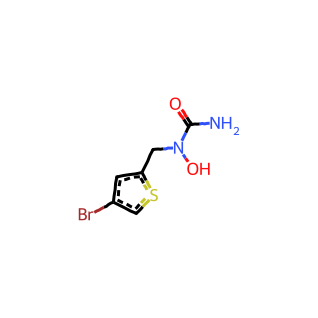 NC(=O)N(O)Cc1cc(Br)cs1